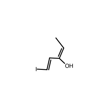 C/C=C(O)\C=C\I